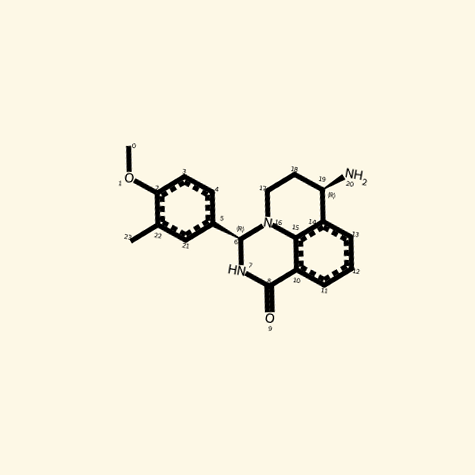 COc1ccc([C@@H]2NC(=O)c3cccc4c3N2CC[C@H]4N)cc1C